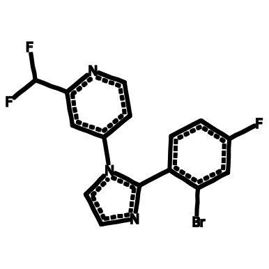 Fc1ccc(-c2nccn2-c2ccnc(C(F)F)c2)c(Br)c1